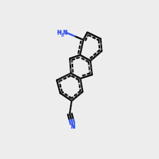 N#Cc1ccc2cc3c(N)cccc3cc2c1